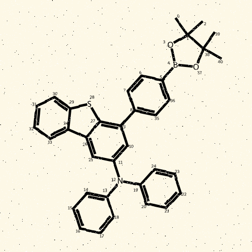 CC1(C)OB(c2ccc(-c3cc(N(c4ccccc4)c4ccccc4)cc4c3sc3ccccc34)cc2)OC1(C)C